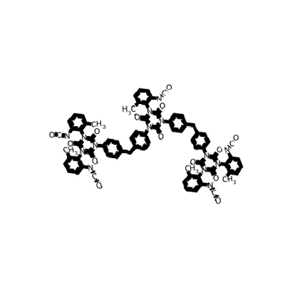 Cc1cccc(N=C=O)c1-n1c(=O)n(-c2ccc(Cc3ccc(-n4c(=O)n(-c5c(C)cccc5N=C=O)c(=O)n(-c5c(C)cccc5N=C=O)c4=O)cc3)cc2)c(=O)n(-c2ccc(Cc3ccc(-n4c(=O)n(-c5c(C)cccc5N=C=O)c(=O)n(-c5c(C)cccc5N=C=O)c4=O)cc3)cc2)c1=O